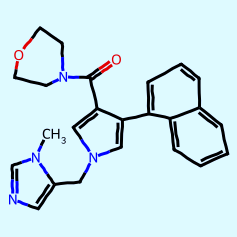 Cn1cncc1Cn1cc(C(=O)N2CCOCC2)c(-c2cccc3ccccc23)c1